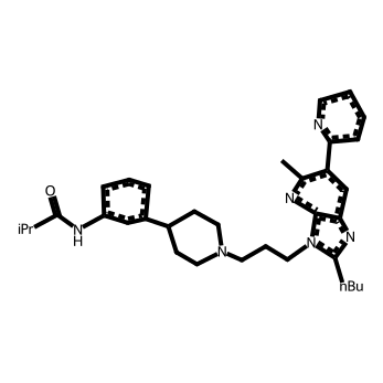 CCCCc1nc2cc(-c3ccccn3)c(C)nc2n1CCCN1CCC(c2cccc(NC(=O)C(C)C)c2)CC1